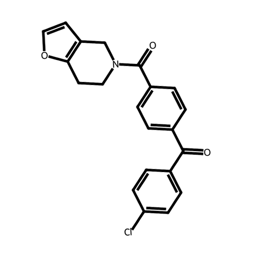 O=C(c1ccc(Cl)cc1)c1ccc(C(=O)N2CCc3occc3C2)cc1